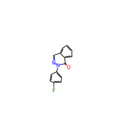 O=c1c2ccccc2cnn1-c1ccc(F)cc1